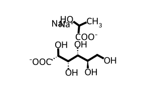 CC(O)C(=O)[O-].O=C([O-])[C@H](O)[C@@H](O)[C@H](O)[C@H](O)CO.[Na+].[Na+]